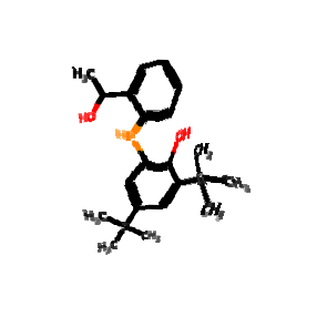 CC(O)c1ccccc1Pc1cc([Si](C)(C)C)cc([Si](C)(C)C)c1O